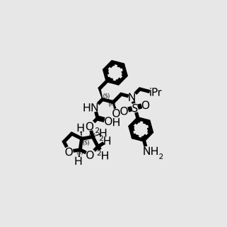 [2H]C1([2H])O[C@H]2OCC[C@H]2[C@@]1([2H])OC(=O)N[C@@H](Cc1ccccc1)[C@H](O)CN(CC(C)C)S(=O)(=O)c1ccc(N)cc1